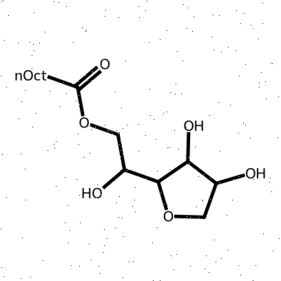 CCCCCCCCC(=O)OCC(O)C1OCC(O)C1O